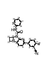 N#Cc1cc(-c2ccc3c(n2)N(C(=O)Nc2ccccn2)C2CCN32)ccc1F